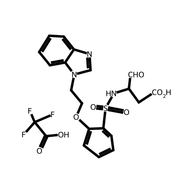 O=C(O)C(F)(F)F.O=CC(CC(=O)O)NS(=O)(=O)c1ccccc1OCCn1cnc2ccccc21